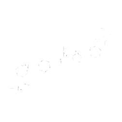 NC(=O)c1cccnc1Oc1ccc(CC(=O)Nc2nc(-c3cccc(OC(F)(F)F)c3)cs2)cc1